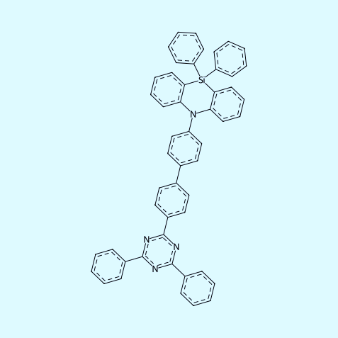 c1ccc(-c2nc(-c3ccccc3)nc(-c3ccc(-c4ccc(N5c6ccccc6[Si](c6ccccc6)(c6ccccc6)c6ccccc65)cc4)cc3)n2)cc1